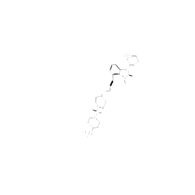 Cn1c(=O)n(C2CCCNC2)c2cccc(C#CCOC3CCN(S(=O)(=O)N4CCC(N)CC4)CC3)c21